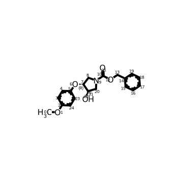 COc1ccc(O[C@@H]2CN(C(=O)OCc3ccccc3)C[C@H]2O)cc1